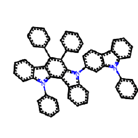 c1ccc(-c2c(-c3ccccc3)c3c(c4ccccc4n3-c3ccc4c5ccccc5n(-c5ccccc5)c4c3)c3c2c2ccccc2n3-c2ccccc2)cc1